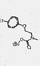 CCc1ccc(OCCN(C)C(=O)OC(C)(C)C)cc1